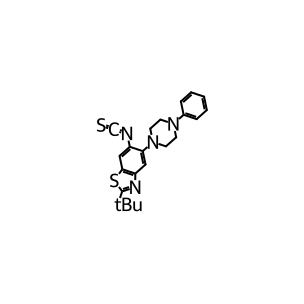 CC(C)(C)c1nc2cc(N3CCN(c4ccccc4)CC3)c(N=C=S)cc2s1